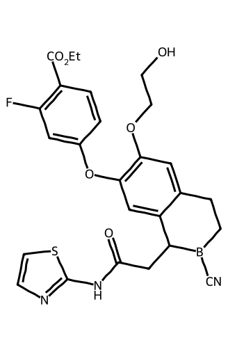 CCOC(=O)c1ccc(Oc2cc3c(cc2OCCO)CCB(C#N)C3CC(=O)Nc2nccs2)cc1F